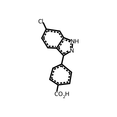 O=C(O)c1ccc(-c2n[nH]c3cc(Cl)ccc23)cc1